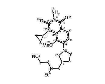 CCN(CCC#N)CC1CCN(c2ccc3c(=O)n(N)c(=O)n(C4CC4)c3c2OC)C1